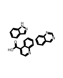 O=C(O)c1ccnc2ccccc12.c1ccc2[nH]ncc2c1.c1ccc2ncncc2c1